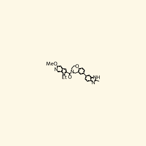 CCn1c(C(=O)N2CCOc3ccc(-c4ccc5nc(C)[nH]c5c4)cc3C2)cc2cc(OC)ncc21